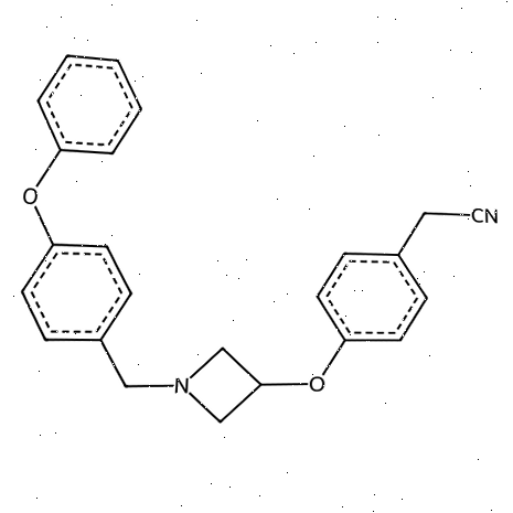 N#CCc1ccc(OC2CN(Cc3ccc(Oc4ccccc4)cc3)C2)cc1